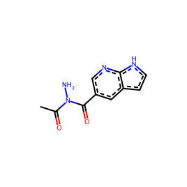 CC(=O)N(N)C(=O)c1cnc2[nH]ccc2c1